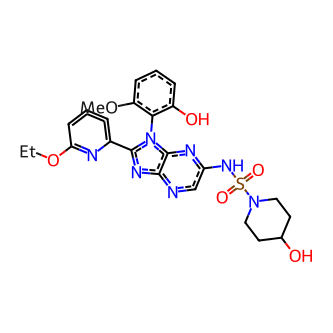 CCOC1=NC(c2nc3ncc(NS(=O)(=O)N4CCC(O)CC4)nc3n2-c2c(O)cccc2OC)=C=C=C1